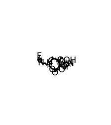 CO[C@]1(C)C[C@@H](C)CN(C)[C@@H](CCCN2CC[C@@H](F)C2)COC(=O)C(C)(C)C(=O)[C@H](C)[C@H]1O[C@@H]1O[C@H](C)C[C@H](N(C)C)[C@H]1O